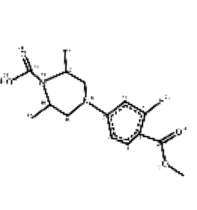 COC(=O)c1ccc(N2CC(C)N(C(=O)O)C(C)C2)cc1F